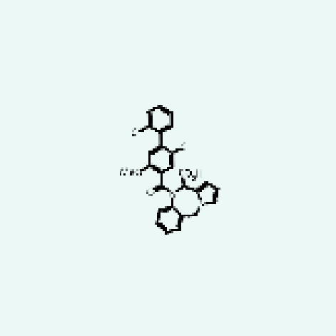 COc1cc(-c2ccccc2Cl)c(Cl)cc1C(=O)N1c2ccccc2Cn2cccc2C1C(=O)O